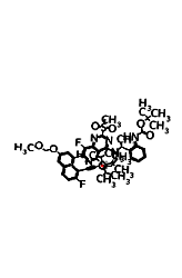 COCOc1cc(-c2nc3c4c(nc(S(C)(=O)=O)nc4c2F)N(C(C)c2ccccc2NC(=O)OC(C)(C)C)CCO3)c2c(C#C[Si](C(C)C)(C(C)C)C(C)C)c(F)ccc2c1